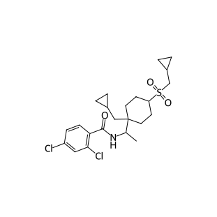 CC(NC(=O)c1ccc(Cl)cc1Cl)C1(CC2CC2)CCC(S(=O)(=O)CC2CC2)CC1